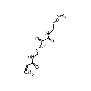 C=CC(=O)NCCNC(=O)C(=O)NCCOC